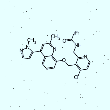 Cc1cc(-c2ccnn2C)c2cccc(OCc3c(Cl)ccnc3CNC(=O)C(C)C)c2n1